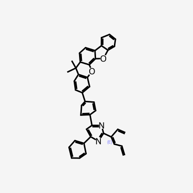 C=C/C=C(\C=C)c1nc(-c2ccccc2)cc(-c2ccc(-c3ccc4c(c3)Oc3c(ccc5c3oc3ccccc35)C4(C)C)cc2)n1